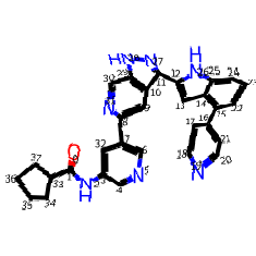 O=C(Nc1cncc(-c2cc3c(-c4cc5c(-c6ccncc6)cccc5[nH]4)n[nH]c3cn2)c1)C1CCCC1